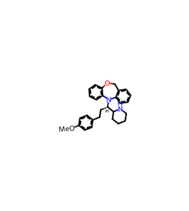 COc1ccc(CC[C@H](C2CCCCN2)N2c3ccccc3COc3ccccc32)cc1